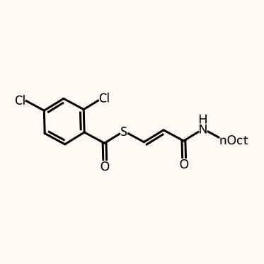 CCCCCCCCNC(=O)C=CSC(=O)c1ccc(Cl)cc1Cl